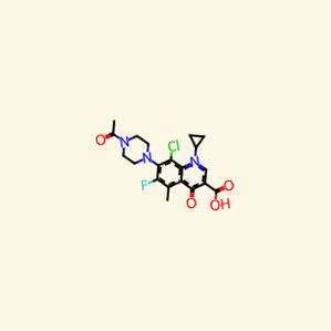 CC(=O)N1CCN(c2c(F)c(C)c3c(=O)c(C(=O)O)cn(C4CC4)c3c2Cl)CC1